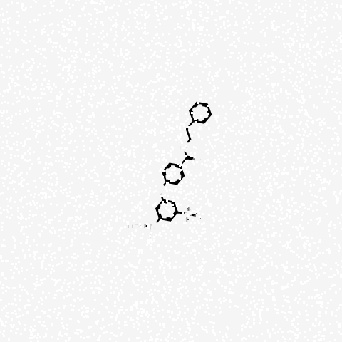 CCCCNc1cc(Oc2ccc(C(=O)OCCc3ccccc3)cc2)cc(S(N)(=O)=O)c1